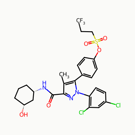 Cc1c(C(=O)N[C@H]2CCC[C@@H](O)C2)nn(-c2ccc(Cl)cc2Cl)c1-c1ccc(OS(=O)(=O)CCC(F)(F)F)cc1